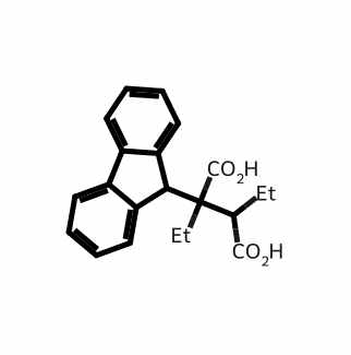 CCC(C(=O)O)C(CC)(C(=O)O)C1c2ccccc2-c2ccccc21